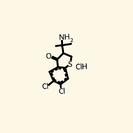 CC(C)(N)C1CSc2cc(Cl)c(Cl)cc2C1=O.Cl